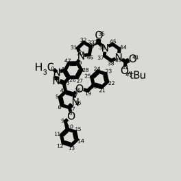 Cn1nc(-c2ccc(OCc3ccccc3)nc2OCc2ccccc2)c2ccc(N3CC[C@@H](C(=O)N4CCN(C(=O)OC(C)(C)C)CC4)C3)cc21